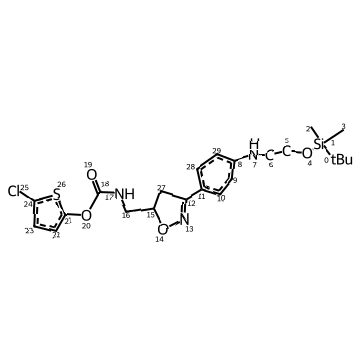 CC(C)(C)[Si](C)(C)OCCNc1ccc(C2=NOC(CNC(=O)Oc3ccc(Cl)s3)C2)cc1